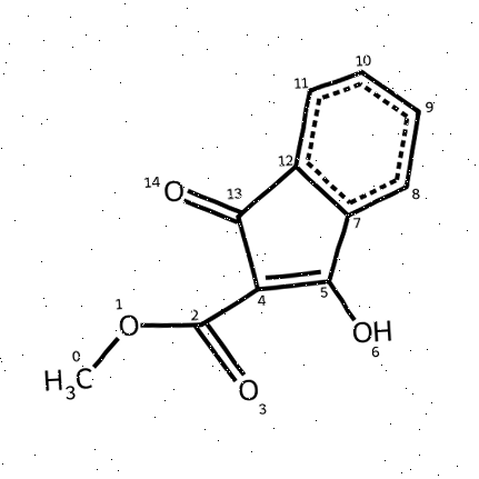 COC(=O)C1=C(O)c2ccccc2C1=O